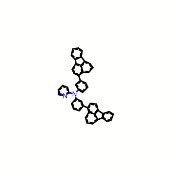 c1ccc(N(c2cccc(-c3ccc4c5c(cccc35)-c3ccccc3-4)c2)c2cccc(-c3ccc4c5c(cccc35)-c3ccccc3-4)c2)nc1